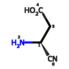 N#C[C@H](N)CC(=O)O